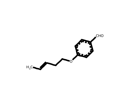 CC=CCCOc1ccc(C=O)cc1